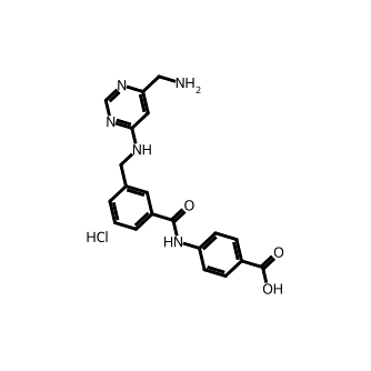 Cl.NCc1cc(NCc2cccc(C(=O)Nc3ccc(C(=O)O)cc3)c2)ncn1